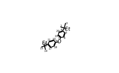 CCC(C)(C)c1ccc(Oc2ccc(C(C)(C)CC)cc2)cc1